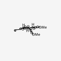 COCCOCCOCC(=O)NCCCC[C@H](NC(=O)COCCOCCOC)C(=O)NCCC(=O)ONC(=O)Cc1ccc(CCCCc2ccccc2)cc1